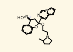 CC1CCCN1CCOC1(c2cc3cccn3cn2)C/C(=N/O)c2ccccc2O1